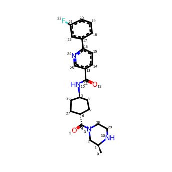 C[C@H]1CN(C(=O)[C@H]2CC[C@H](NC(=O)c3ccc(-c4cccc(F)c4)nc3)CC2)CCN1